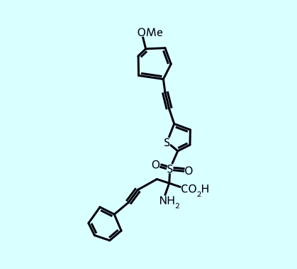 COc1ccc(C#Cc2ccc(S(=O)(=O)C(N)(CC#Cc3ccccc3)C(=O)O)s2)cc1